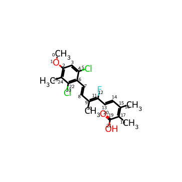 COc1cc(Cl)c(C=CC(C)=C(F)C=CC(C)=C(C)C(=O)O)c(Cl)c1C